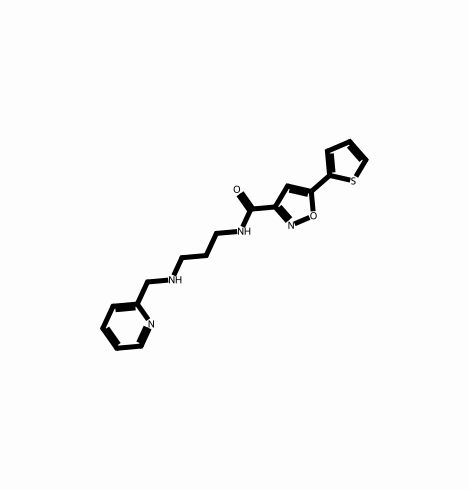 O=C(NCCCNCc1ccccn1)c1cc(-c2cccs2)on1